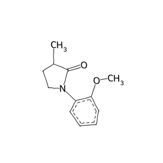 COc1ccccc1N1CCC(C)C1=O